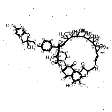 CO[C@H]1/C=C/O[C@@]2(C)Oc3c(C)c(O)c4c(c3C2=O)C(=O)C(N2CCN(C(=O)c3ccc(OCC5(C)Cn6cc([N+](=O)[O-])nc6O5)cc3)CC2)=C(NC(=O)/C(C)=C\C=C\[C@H](C)[C@H](O)[C@@H](C)[C@@H](O)[C@@H](C)[C@H](OC(C)=O)[C@@H]1C)C4=O